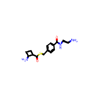 NCCNC(=O)c1ccc(CSC(=O)C2CCC2N)cc1